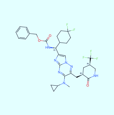 CN(c1nc2nc([C@@H](NC(=O)OCc3ccccc3)C3CCC(F)(F)CC3)cn2nc1C[C@H]1C[C@@H](C(F)(F)F)CNC1=O)C1CC1